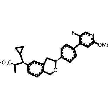 COc1cc(-c2ccc([C@@H]3Cc4cc([C@H](C5CC5)[C@H](C)C(=O)O)ccc4CO3)cc2)c(F)cn1